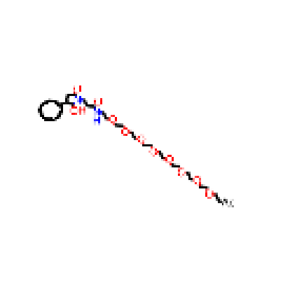 CC(=O)CCOCCOCCOCCOCCOCCOCCOCCOCCNC(=O)CCN1C(=O)CC(c2ccccccccc2)C1O